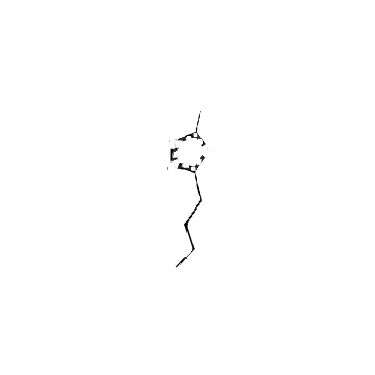 CCCCc1nc(C)no1